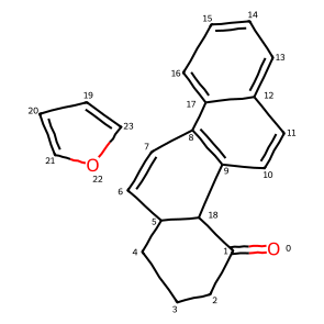 O=C1CCCC2C=Cc3c(ccc4ccccc34)C12.c1ccoc1